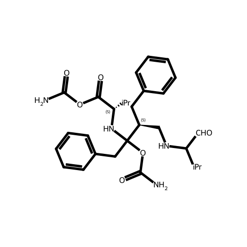 CC(C)C(C=O)NC[C@H](Cc1ccccc1)C(Cc1ccccc1)(N[C@H](C(=O)OC(N)=O)C(C)C)OC(N)=O